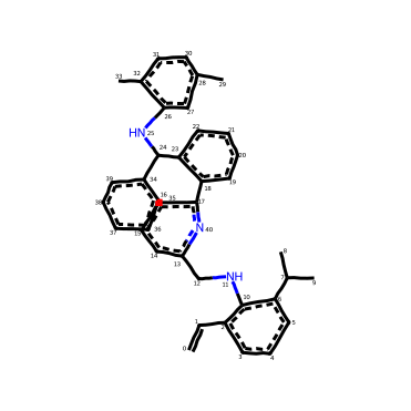 C=Cc1cccc(C(C)C)c1NCc1cccc(-c2ccccc2C(Nc2cc(C)ccc2C)c2ccccc2)n1